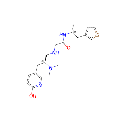 C[C@H](Cc1ccsc1)NC(=O)CNC[C@H](Cc1ccc(O)nc1)N(C)C